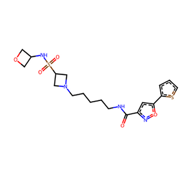 O=C(NCCCCCN1CC(S(=O)(=O)NC2COC2)C1)c1cc(-c2cccs2)on1